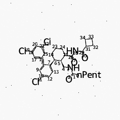 CCCCCC(=O)NC[C@H]1[C@@H](c2ccc(Cl)cc2)[C@H](c2ccc(Cl)cc2Cl)CC[C@H]1C(=O)NC(=O)C1CCC1